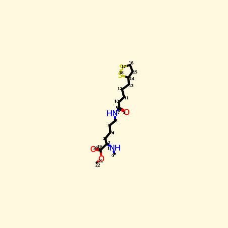 CNC(CCCCNC(=O)CCCCC1CCSS1)C(=O)OC